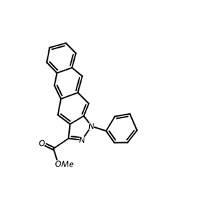 COC(=O)c1nn(-c2ccccc2)c2cc3cc4ccccc4cc3cc12